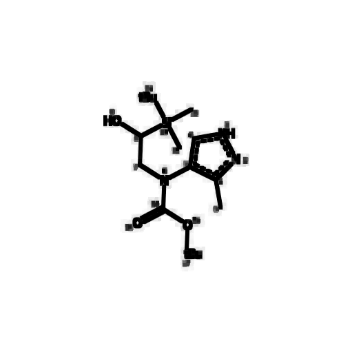 Cc1n[nH]cc1N(CC(O)[Si](C)(C)C(C)(C)C)C(=O)OC(C)(C)C